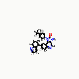 Cn1c(=O)n(-c2ccc(C(C)(C)C#N)cc2)c2c3cc(-c4cccc5ncccc45)ccc3ncc21